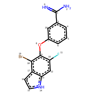 N=C(N)c1cccc(Oc2c(F)cc3[nH]ccc3c2Br)c1